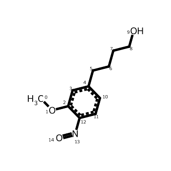 COc1cc(CCCCO)ccc1N=O